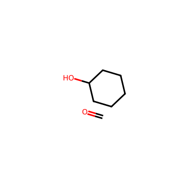 C=O.OC1CCCCC1